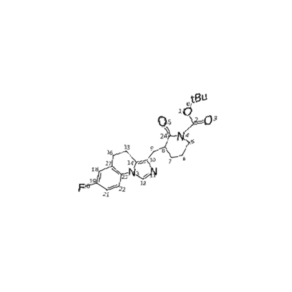 CC(C)(C)OC(=O)N1CCCC(Cc2ncn3c2CCc2cc(F)ccc2-3)C1=O